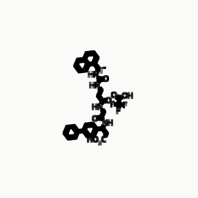 C[C@H](NC(=O)NCCC(=O)NCC(=O)NC(CC(=O)O)c1ccc(-c2ccccc2)cc1)c1cccc2ccccc12.O=C(O)C(F)(F)F